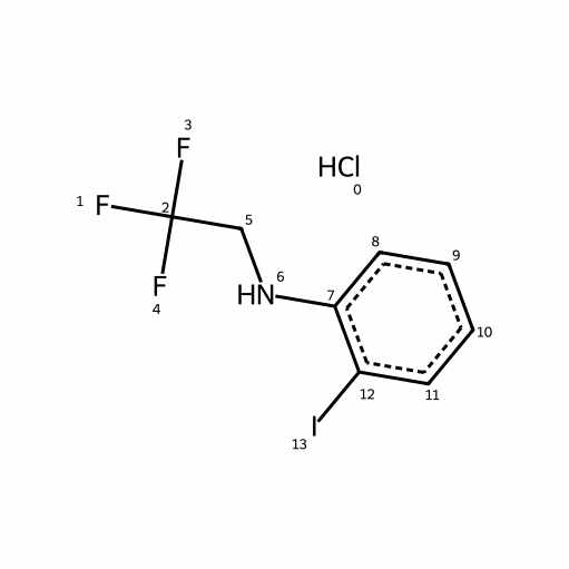 Cl.FC(F)(F)CNc1ccccc1I